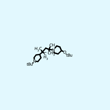 CC(C)(C)OC1CCN(C(C)(C)CC(C)(C)C2CCN(C(C)(C)C)CC2)CC1